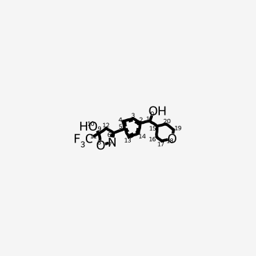 OC(c1ccc(C2=NOC(O)(C(F)(F)F)C2)cc1)C1CCOCC1